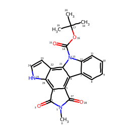 CN1C(=O)c2c(c3c4ccccc4n(C(=O)OC(C)(C)C)c3c3cc[nH]c23)C1=O